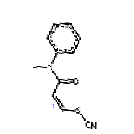 CN(C(=O)/C=C\SC#N)c1ccccc1